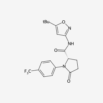 CC(C)(C)c1cc(NC(=O)[C@@H]2CCC(=O)N2c2ccc(C(F)(F)F)cc2)no1